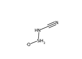 N#CN[SiH2][O]